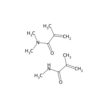 C=C(C)C(=O)N(C)C.C=C(C)C(=O)NC